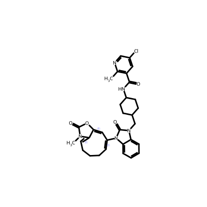 Cc1ncc(Cl)cc1C(=O)NC1CCC(Cn2c(=O)n(C3=C/CCC/C=c4/c(oc(=O)n4C)=C\3)c3ccccc32)CC1